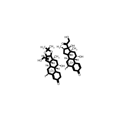 CC1(C)O[C@@H]2C[C@H]3[C@@H]4C[C@H](F)C5=CC(=O)CC[C@]5(C)[C@H]4[C@@H](O)C[C@]3(C)[C@]2(C(=O)CO)O1.C[C@@H]1C[C@H]2[C@@H]3C[C@H](F)C4=CC(=O)C=C[C@]4(C)[C@H]3[C@@H](O)C[C@]2(C)[C@@]1(O)C(=O)CO